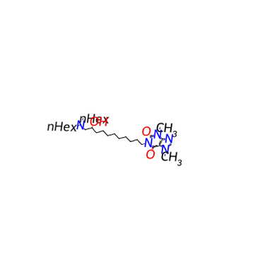 CCCCCCN(CCCCCC)CC(O)CCCCCCCCCn1c(=O)c2c(ncn2C)n(C)c1=O